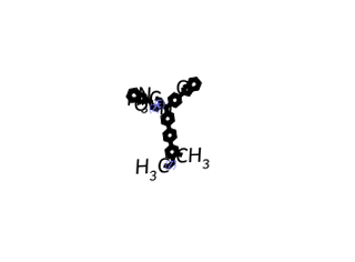 C/C=C\c1ccc(-c2ccc(-c3ccc(N(C(/C=C\Cc4nc5ccccc5o4)=C/C)c4ccc(-c5cc6ccccc6o5)cc4)cc3)cc2)cc1C